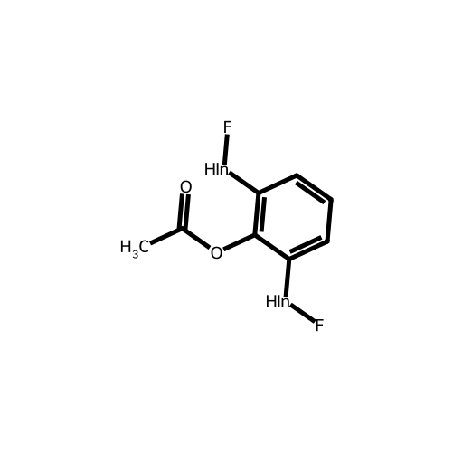 CC(=O)Oc1[c]([InH][F])ccc[c]1[InH][F]